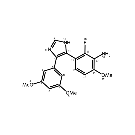 COc1cc(OC)cc(-c2nc[nH]c2-c2ccc(OC)c(N)c2F)c1